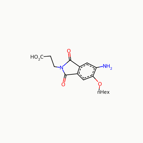 CCCCCCOc1cc2c(cc1N)C(=O)N(CCC(=O)O)C2=O